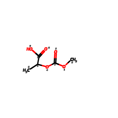 COC(=O)OC(C)C(=O)O